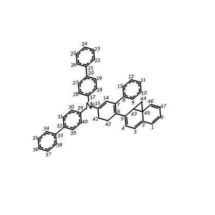 C1=CC2=CC=C(C3=C(c4ccccc4)C=C(N(c4ccc(-c5ccccc5)cc4)c4ccc(-c5ccccc5)cc4)CC3)C3CC23C=C1